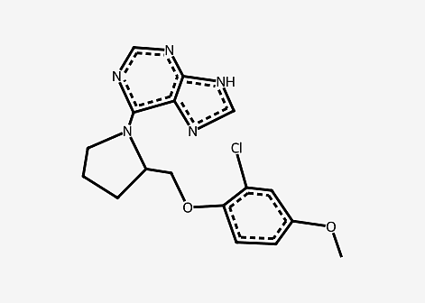 COc1ccc(OCC2CCCN2c2ncnc3[nH]cnc23)c(Cl)c1